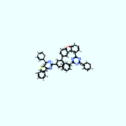 C1=CCC(c2nc(-c3cccc(-c4ccc5oc6cccc(-c7nc(-c8ccccc8)nc(-c8ccccc8)n7)c6c5c4)c3)nc3c2sc2ccccc23)C=C1